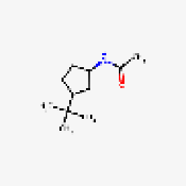 CC(=O)N[C@@H]1CCC(C(C)(C)C)C1